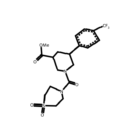 COC(=O)C1CC(c2ccc(C(F)(F)F)cc2)CN(C(=O)N2CCS(=O)(=O)CC2)C1